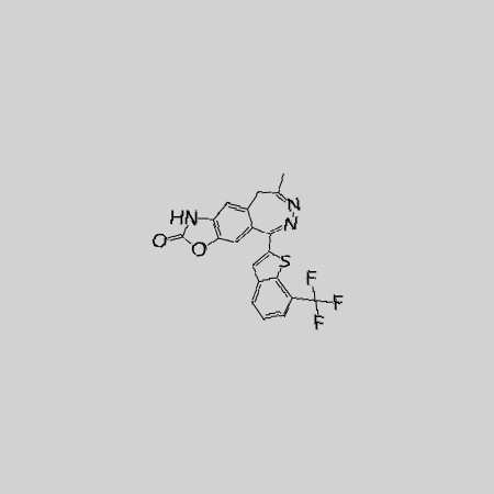 CC1=NN=C(c2cc3cccc(C(F)(F)F)c3s2)c2cc3oc(=O)[nH]c3cc2C1